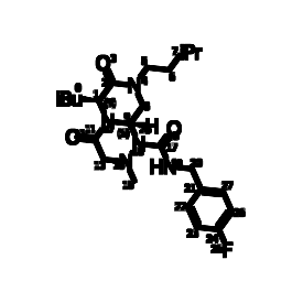 CCC(C)[C@H]1C(=O)N(CCC(C)C)C[C@H]2N1C(=O)CN(C)N2C(=O)NCc1ccc(F)cc1